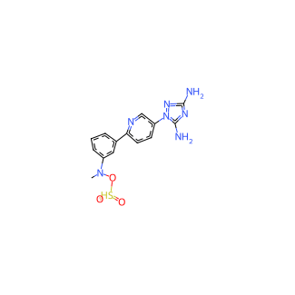 CN(O[SH](=O)=O)c1cccc(-c2ccc(-n3nc(N)nc3N)cn2)c1